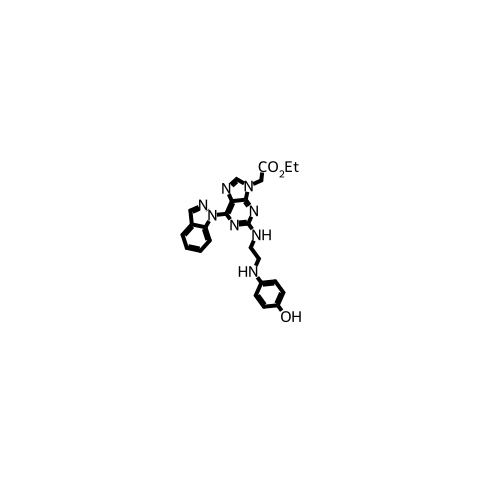 CCOC(=O)Cn1cnc2c(-n3ncc4ccccc43)nc(NCCNc3ccc(O)cc3)nc21